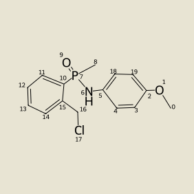 COc1ccc(NP(C)(=O)c2ccccc2CCl)cc1